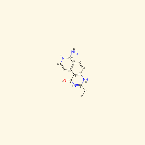 CCc1nc(=O)c2c(ccc3c(N)nccc32)[nH]1